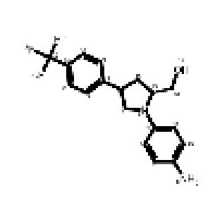 Nc1ccc(N2CC(c3ccc(C(F)(F)F)cc3)C[C@H]2CO)cc1